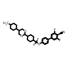 CC1CCC(C2COC(C3CCC(C(F)(F)Oc4ccc(-c5cc(F)c(C#N)c(F)c5)cc4)CC3)OC2)CC1